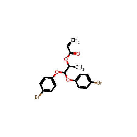 C=CC(=O)OC(C)C(Oc1ccc(Br)cc1)Oc1ccc(Br)cc1